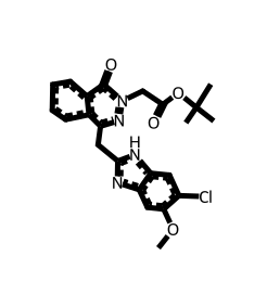 COc1cc2nc(Cc3nn(CC(=O)OC(C)(C)C)c(=O)c4ccccc34)[nH]c2cc1Cl